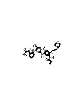 C=CC(=O)Nc1cc(Nc2ncc(Cl)c(Nc3ccccc3C(=O)C(=O)N(C)C)n2)c(OC)cc1OCCN1CCOCC1